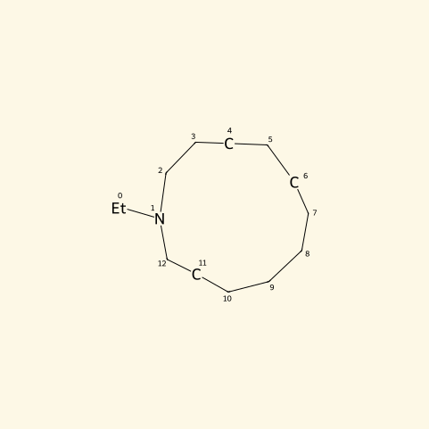 [CH2]CN1CCCCCCCCCCC1